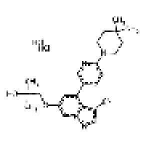 CC(C)(O)COc1cc(-c2ccc(N3CCC(C)(N)CC3)nc2)c2c(C#N)cnn2c1.Cl.Cl